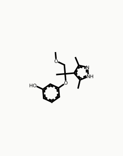 COCC(C)(Oc1c[c]cc(O)c1)c1c(C)n[nH]c1C